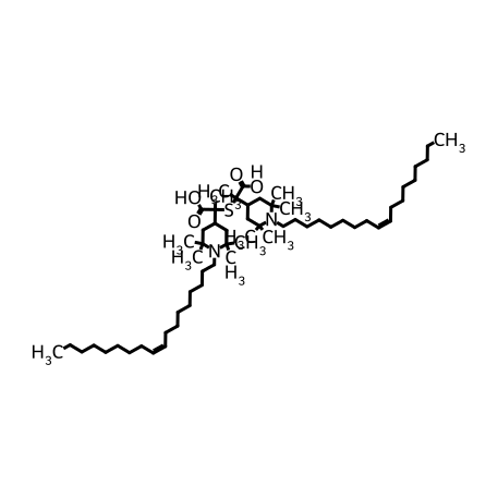 CCCCCCCC/C=C\CCCCCCCCN1C(C)(C)CC(C(C)(SC(C)(C(=O)O)C2CC(C)(C)N(CCCCCCCC/C=C\CCCCCCCC)C(C)(C)C2)C(=O)O)CC1(C)C